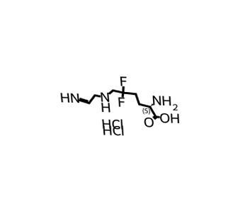 Cl.Cl.N=CCNCC(F)(F)CC[C@H](N)C(=O)O